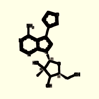 C[C@@]1(O)C(O)[C@@H](CO)O[C@H]1n1cc(-c2ccoc2)c2c(N)ncnc21